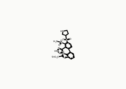 CCOC(=O)c1nc2cccc(-c3ccc(S(=O)(=O)C4CCNC4)c(S(N)(=O)=O)c3-c3nn[nH]n3)c2[nH]1